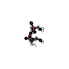 NCC[C@@H]1N[C@H](CNC(=O)C=Cc2ccc(Cl)cc2)CCN(CC(c2ccccc2)c2ccccc2)C1=O.O=C(NC[C@@H]1CCN(CC(c2ccccc2)c2ccccc2)C(=O)[C@H](CCN2CCCCC2)N1)c1ccc(Cl)c(Cl)c1